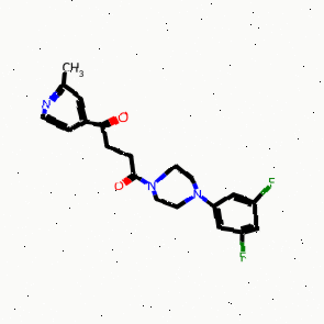 Cc1cc(C(=O)CCC(=O)N2CCN(c3cc(F)cc(F)c3)CC2)ccn1